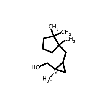 CC1(C)CCCC1(C)CC1C[C@@]1(C)CO